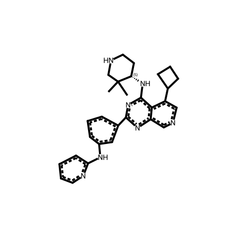 CC1(C)CNCC[C@@H]1Nc1nc(-c2cccc(Nc3ccccn3)c2)nc2cncc(C3CCC3)c12